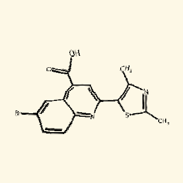 Cc1nc(C)c(-c2cc(C(=O)O)c3cc(Br)ccc3n2)s1